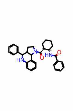 O=C(N[C@H]1CCCC[C@@H]1C(=O)N1CCC2C(c3ccccc3)Nc3ccccc3C21)c1ccccc1